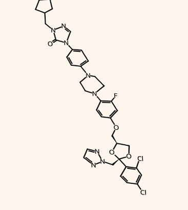 O=c1n(-c2ccc(N3CCN(c4ccc(OC[C@H]5CO[C@](Cn6nccn6)(c6ccc(Cl)cc6Cl)O5)cc4F)CC3)cc2)cnn1CC1CCCC1